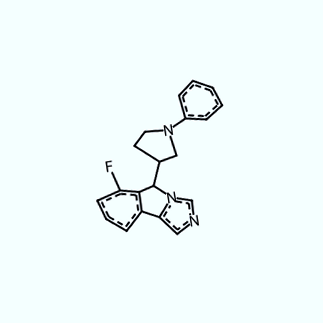 Fc1cccc2c1C(C1CCN(c3ccccc3)C1)n1cncc1-2